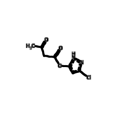 CC(=O)CC(=O)Oc1cc(Cl)n[nH]1